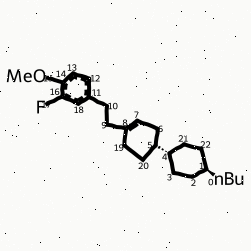 CCCC[C@H]1CC[C@H](C2CC=C(CCc3ccc(OC)c(F)c3)CC2)CC1